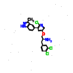 Cc1n[nH]c2ccc(-c3cc(OC[C@@H](N)Cc4ccc(Cl)c(Cl)c4)cnc3Cl)cc12